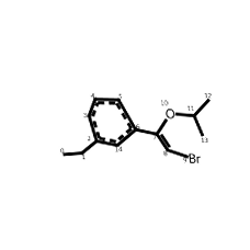 CCc1cccc(C(=CBr)OC(C)C)c1